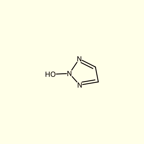 On1nccn1